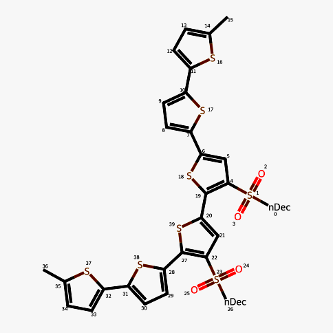 CCCCCCCCCCS(=O)(=O)c1cc(-c2ccc(-c3ccc(C)s3)s2)sc1-c1cc(S(=O)(=O)CCCCCCCCCC)c(-c2ccc(-c3ccc(C)s3)s2)s1